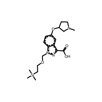 CN1CCC(Oc2ccc3c(c2)c(C(=O)O)nn3COCC[Si](C)(C)C)C1